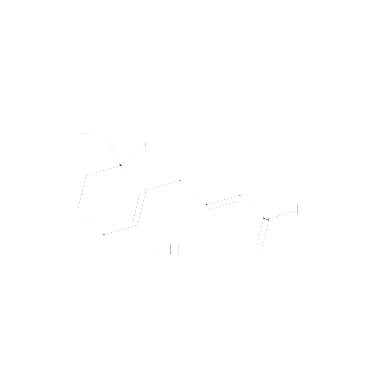 CCC(=O)C=CCC1=C(C)CCCC1(C)C